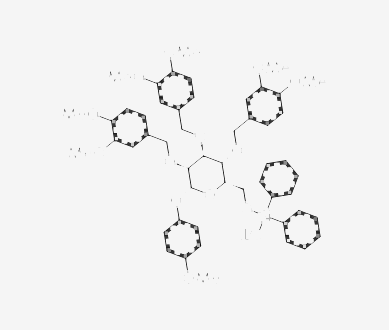 COc1ccc(O[C@H]2O[C@H](CO[Si](c3ccccc3)(c3ccccc3)C(C)(C)C)[C@@H](OCc3ccc(OC)c(OC)c3)[C@H](OCc3ccc(OC)c(OC)c3)[C@@H]2OCc2ccc(OC)c(OC)c2)cc1